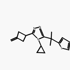 C=C1CC(c2nnc(C(C)(C)c3cccs3)n2C2CC2)C1